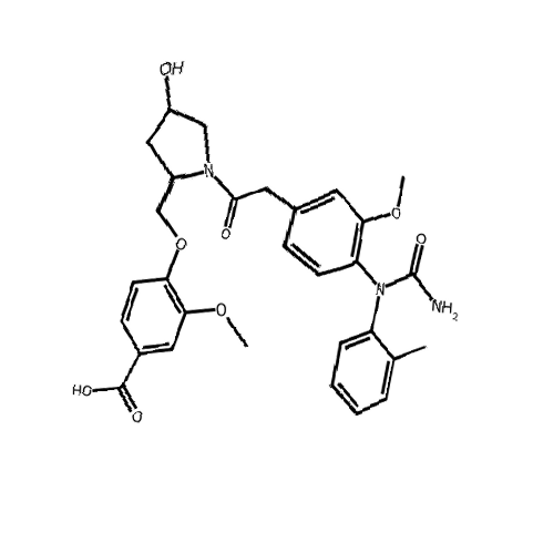 COc1cc(C(=O)O)ccc1OCC1CC(O)CN1C(=O)Cc1ccc(N(C(N)=O)c2ccccc2C)c(OC)c1